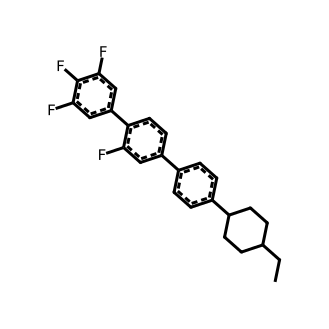 CCC1CCC(c2ccc(-c3ccc(-c4cc(F)c(F)c(F)c4)c(F)c3)cc2)CC1